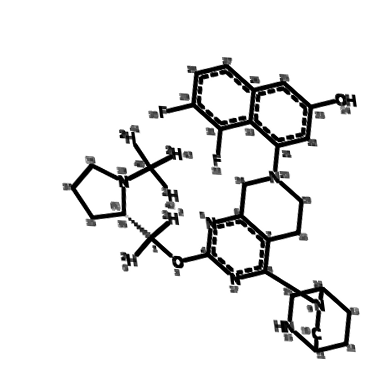 [2H]C([2H])(Oc1nc2c(c(N3CC4CCC3CN4)n1)CCN(c1cc(O)cc3ccc(F)c(F)c13)C2)[C@@H]1CCCN1C([2H])([2H])[2H]